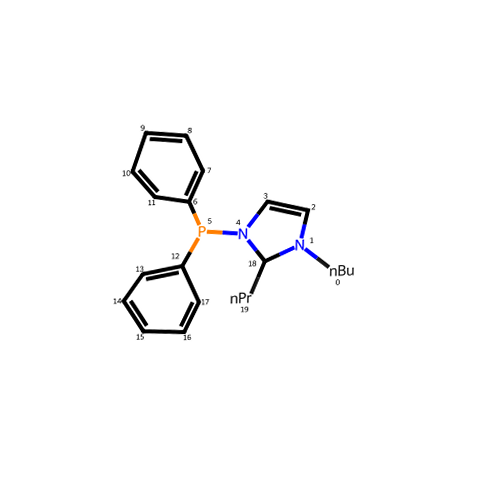 CCCCN1C=CN(P(c2ccccc2)c2ccccc2)C1CCC